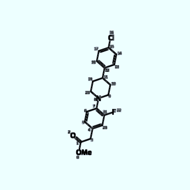 COC(=O)Cc1ccc(N2CCC(c3ccc(Cl)cc3)CC2)c(F)c1